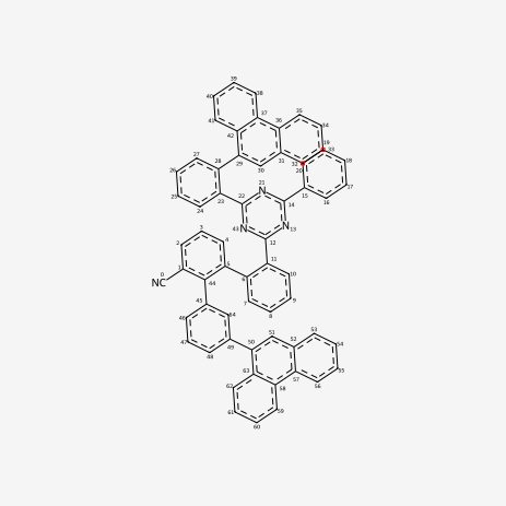 N#Cc1cccc(-c2ccccc2-c2nc(-c3ccccc3)nc(-c3ccccc3-c3cc4ccccc4c4ccccc34)n2)c1-c1cccc(-c2cc3ccccc3c3ccccc23)c1